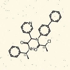 C[C@H](Cl)C(=O)N(c1ccc(-c2ccccc2)cc1)C(C(=O)N[C@@H](C)c1ccccc1)c1cccnc1